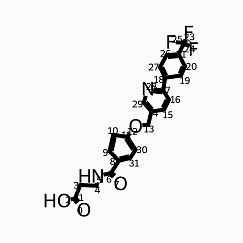 O=C(O)CCNC(=O)c1ccc(OCc2ccc(-c3ccc(C(F)(F)F)cc3)nc2)cc1